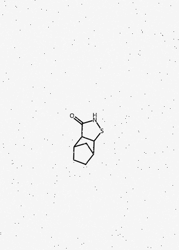 O=C1NSC2C3CCC(C3)C12